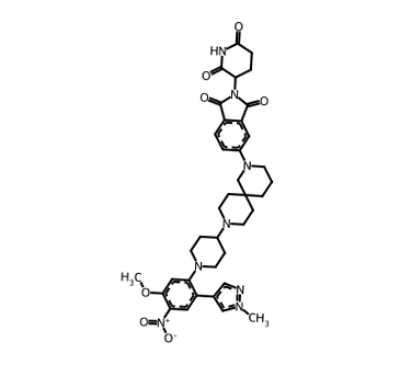 COc1cc(N2CCC(N3CCC4(CCCN(c5ccc6c(c5)C(=O)N(C5CCC(=O)NC5=O)C6=O)C4)CC3)CC2)c(-c2cnn(C)c2)cc1[N+](=O)[O-]